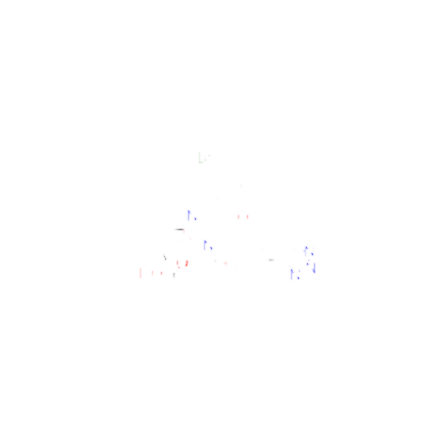 Cn1nnc2cc(COc3ccc(Br)c4c3C(CN3Cc5ccccc5C3=O)N(C(=O)[C@@H]3CCCC[C@@H]3C(=O)O)CC4)ccc21